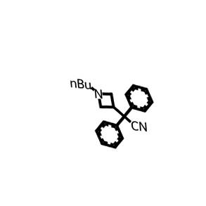 CCCCN1CC(C(C#N)(c2ccccc2)c2ccccc2)C1